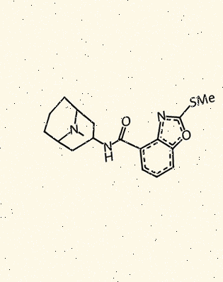 CSc1nc2c(C(=O)NC3CC4CCCC(C3)N4C)cccc2o1